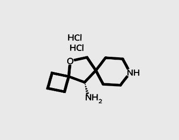 Cl.Cl.N[C@H]1C2(CCNCC2)COC12CCC2